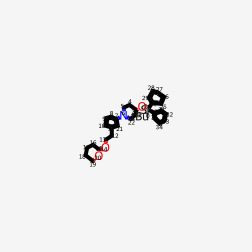 CC(C)(C)[Si](OC1CCN(c2cccc(CCOC3CCCCO3)c2)CC1)(c1ccccc1)c1ccccc1